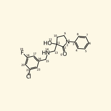 O=C1N(c2ccccc2)CCC1(O)CNCc1cc(F)cc(Cl)c1